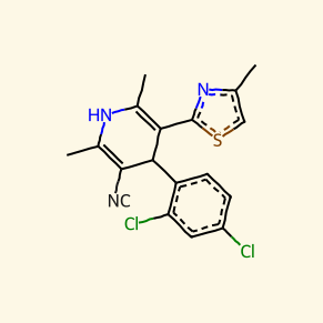 [C-]#[N+]C1=C(C)NC(C)=C(c2nc(C)cs2)C1c1ccc(Cl)cc1Cl